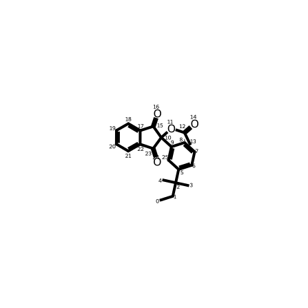 CCC(C)(C)c1cc[c]c(C2(OC(C)=O)C(=O)c3ccccc3C2=O)c1